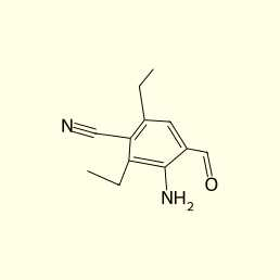 CCc1cc(C=O)c(N)c(CC)c1C#N